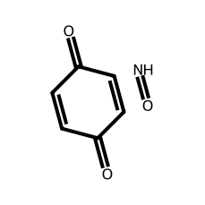 N=O.O=C1C=CC(=O)C=C1